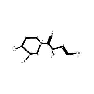 CC[C@H]1CCN(C(=O)[C@@H](O)/C=C/O)C[C@H]1F